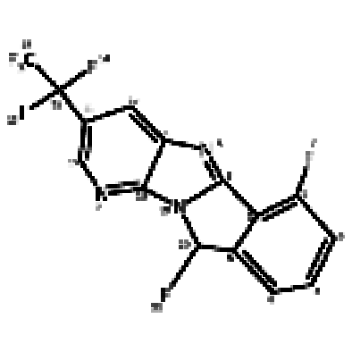 Fc1cccc2c1-c1nc3cc(C(F)(F)C(F)(F)F)cnc3n1C2F